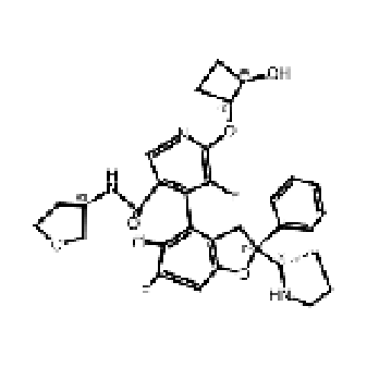 O=C(N[C@@H]1CCOC1)c1cnc(O[C@H]2CC[C@H]2O)c(F)c1-c1c(Cl)c(F)cc2c1C[C@](c1ccccc1)([C@@H]1CCCN1)O2